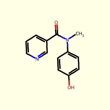 CN(C(=O)c1cccnc1)c1ccc(O)cc1